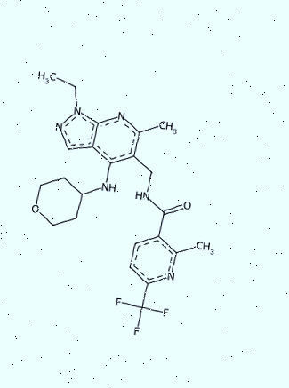 CCn1ncc2c(NC3CCOCC3)c(CNC(=O)c3ccc(C(F)(F)F)nc3C)c(C)nc21